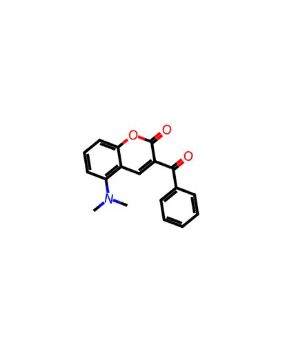 CN(C)c1cccc2oc(=O)c(C(=O)c3ccccc3)cc12